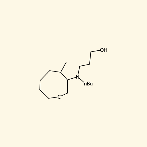 CCCCN(CCCO)C1CCCCCCC1C